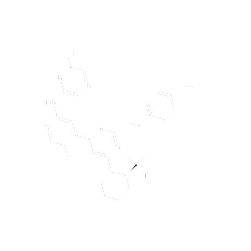 COc1ccc(COc2cc(-c3cc(Nc4cncc(C)n4)ncc3C)cc(N3CCCC[C@@H]3C(F)(F)F)n2)cc1